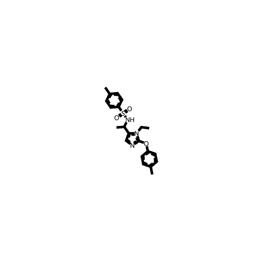 CCn1c(C(C)NS(=O)(=O)c2ccc(C)cc2)cnc1Oc1ccc(C)cc1